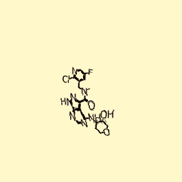 CN(Cc1cc(F)cnc1Cl)C(=O)c1n[nH]c2ncnc(N[C@@H]3CCOC[C@H]3O)c12